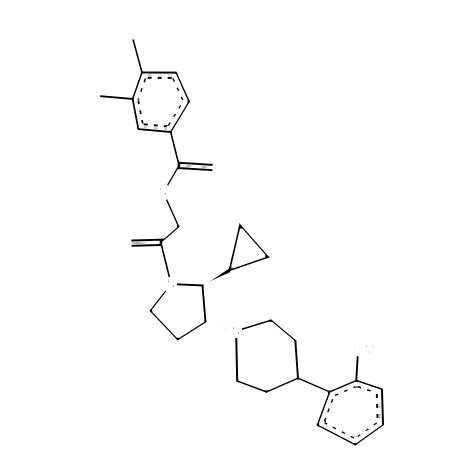 COc1ccccc1C1CCN([C@@H]2CCN(C(=O)CNC(=O)c3ccc(Cl)c(Cl)c3)[C@H]2C2CC2)CC1